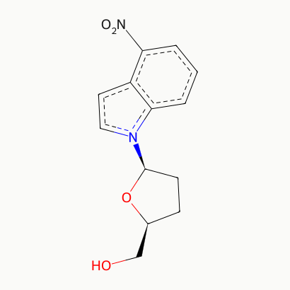 O=[N+]([O-])c1cccc2c1ccn2[C@H]1CC[C@@H](CO)O1